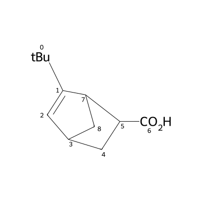 CC(C)(C)C1=CC2CC(C(=O)O)C1C2